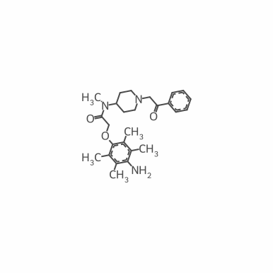 Cc1c(C)c(OCC(=O)N(C)C2CCN(CC(=O)c3ccccc3)CC2)c(C)c(C)c1N